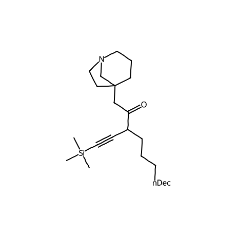 CCCCCCCCCCCCCC(C#C[Si](C)(C)C)C(=O)CC12CCCN(CC1)C2